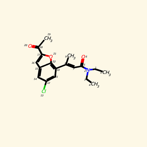 CCN(CC)C(=O)/C=C(\C)c1cc(Cl)cc2cc(C(C)=O)oc12